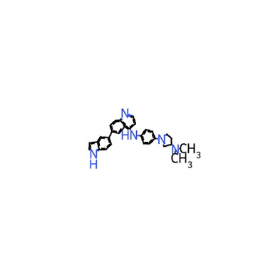 CN(C)C1CCN(c2ccc(Nc3ccnc4ccc(-c5ccc6[nH]ccc6c5)cc34)cc2)C1